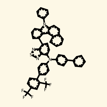 FC(F)(F)c1ccc(-c2ccc(N(c3ccc(-c4ccccc4)cc3)c3ccc(-c4cccc5c4c4c6ccccc6ccc4n5-c4ccccc4)c4nsnc34)cc2)c(C(F)(F)F)c1